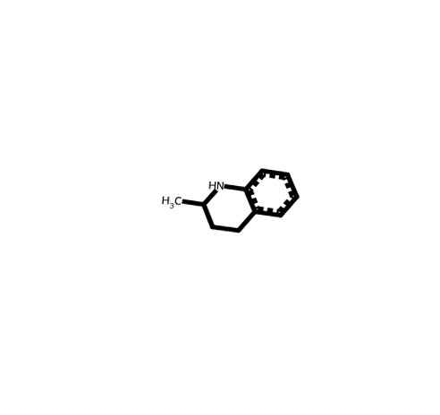 C[C]1CCc2ccccc2N1